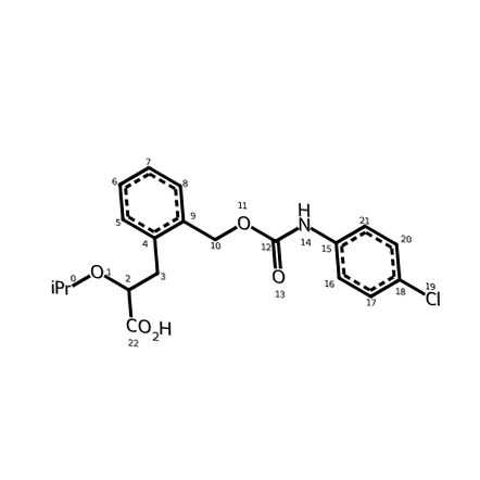 CC(C)OC(Cc1ccccc1COC(=O)Nc1ccc(Cl)cc1)C(=O)O